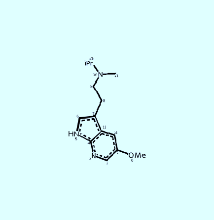 COc1cnc2[nH]cc(CCN(C)C(C)C)c2c1